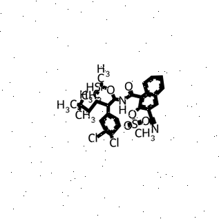 C[SiH](C)OC(NC(=O)c1c(OS(C)(=O)=O)c(C#N)cc2ccccc12)C(CCC(C)(C)C)c1ccc(Cl)c(Cl)c1